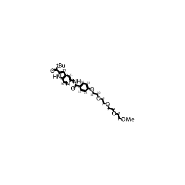 COCCOCCOCCOCCOc1ccc(C(=O)Nc2cc3cc(C(=O)C(C)(C)C)[nH]c3cn2)cc1